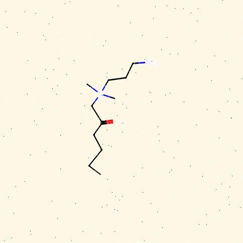 CCCCCCCCCCCC(=O)C[N+](C)(C)CCCN.[Cl-]